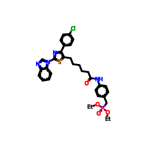 CCOP(=O)(Cc1ccc(NC(=O)CCCCCc2sc(-n3cnc4ccccc43)nc2-c2ccc(Cl)cc2)cc1)OCC